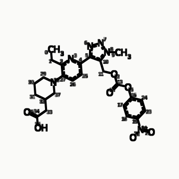 CCc1nc(-c2nnn(C)c2COC(=O)Oc2ccc([N+](=O)[O-])cc2)ccc1N1CCCC(CC(=O)O)C1